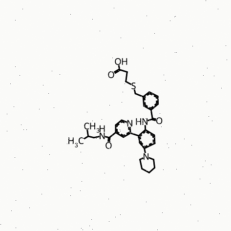 CC(C)CNC(=O)c1ccnc(-c2cc(N3CCCCC3)ccc2NC(=O)c2cccc(CSCCC(=O)O)c2)c1